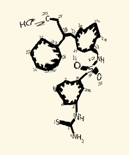 NC(=S)Nc1cccc(S(=O)(=O)Nc2cccc(C(CC(=O)O)c3ccccc3)c2)c1